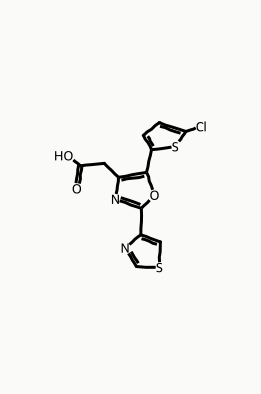 O=C(O)Cc1nc(-c2cscn2)oc1-c1ccc(Cl)s1